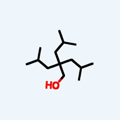 CC(C)CC(CO)(CC(C)C)CC(C)C